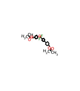 C=C(C)C(=O)OCc1ccc(OC(F)(F)c2ccc(C3CCC(COC(=O)C(=C)C)CC3)cc2)cc1